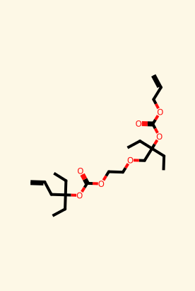 C=CCOC(=O)OC(CC)(CC)COCCOC(=O)OC(CC)(CC)CC=C